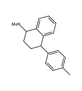 CNC1CCC(c2ccc(C)cc2)c2ccccc21